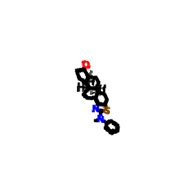 CN(c1ccccc1)c1nc2c(s1)CC[C@@]1(C)C2=CC[C@@H]2[C@@H]1CC[C@]1(C)C(=O)CC[C@@H]21